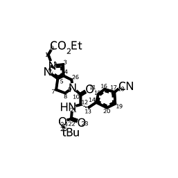 CCOC(=O)Cn1cc2c(n1)CCN(C(=O)[C@H](Cc1ccc(C#N)cc1)NC(=O)OC(C)(C)C)C2